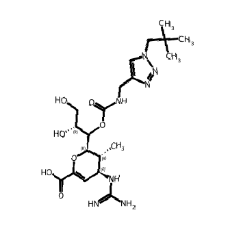 C[C@@H]1[C@@H](NC(=N)N)C=C(C(=O)O)O[C@H]1C(OC(=O)NCc1cn(CC(C)(C)C)nn1)[C@H](O)CO